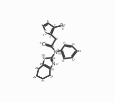 O=C(Cc1sccc1Br)N(c1ccccc1)c1nc2c(s1)CCCC2